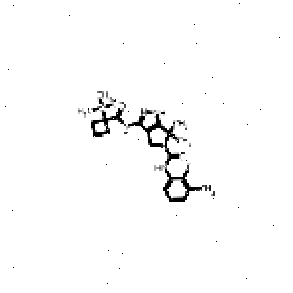 Cc1cccc(NC(=O)N2Cc3c(NC(=O)C4(S(C)(C)C)CCC4)n[nH]c3C2(C)C)c1F